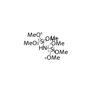 CO[Si](N[Si](OC)(OC)OC)(OC)OC.[Li]